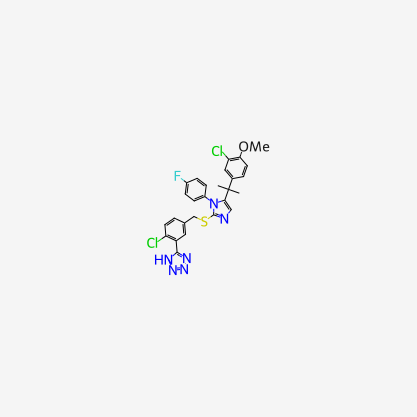 COc1ccc(C(C)(C)c2cnc(SCc3ccc(Cl)c(-c4nnn[nH]4)c3)n2-c2ccc(F)cc2)cc1Cl